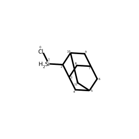 Cl[SiH2]C1C2CC3CC(C2)CC1C3